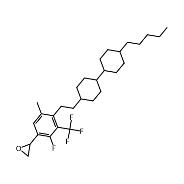 CCCCCC1CCC(C2CCC(CCc3c(C)cc(C4CO4)c(F)c3C(F)(F)F)CC2)CC1